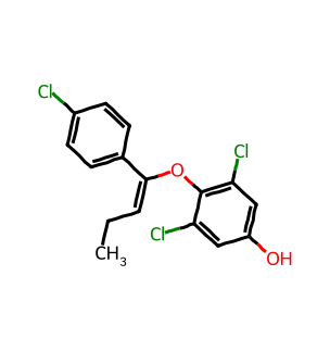 CCC=C(Oc1c(Cl)cc(O)cc1Cl)c1ccc(Cl)cc1